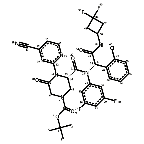 CC(C)(C)OC(=O)N1CC(=O)N(c2nccc(C#N)n2)[C@H](C(=O)N(c2cc(F)cc(F)c2)[C@H](C(=O)NC2CC(F)(F)C2)c2ccccc2Cl)C1